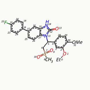 CCOc1cc(C(CS(C)(=O)=O)n2c(=O)[nH]c3cc(-c4ccc(F)cc4)ccc32)ccc1OC